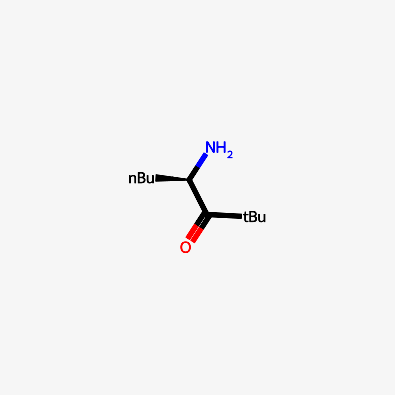 CCCC[C@@H](N)C(=O)C(C)(C)C